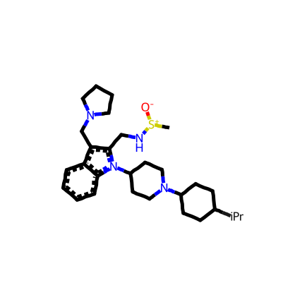 CC(C)C1CCC(N2CCC(n3c(CN[S+](C)[O-])c(CN4CCCC4)c4ccccc43)CC2)CC1